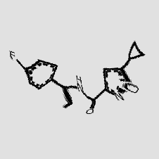 CC(NC(=O)c1cc(C2CC2)on1)c1ccc(F)cc1